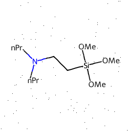 CCCN(CCC)CC[Si](OC)(OC)OC